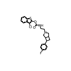 O=C(NCCN1CC2CC(c3ccc(F)cc3)C2C1)Oc1sc2ccccc2c1Cl